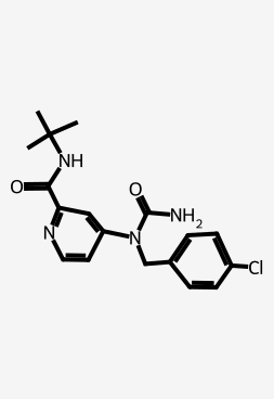 CC(C)(C)NC(=O)c1cc(N(Cc2ccc(Cl)cc2)C(N)=O)ccn1